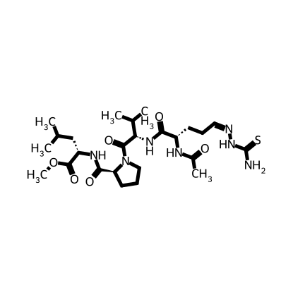 COC(=O)[C@H](CC(C)C)NC(=O)[C@@H]1CCCN1C(=O)[C@@H](NC(=O)[C@H](CC/C=N\NC(N)=S)NC(C)=O)C(C)C